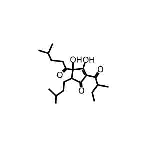 CCC(C)C(=O)C1=C(O)C(O)(C(=O)CCC(C)C)C(CCC(C)C)C1=O